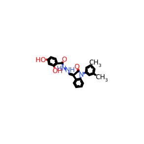 Cc1cc(C)cc(N2C(=O)/C(=C\NNC(=O)c3ccc(O)cc3O)c3ccccc32)c1